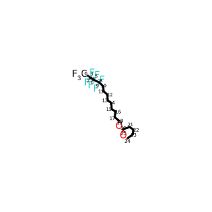 FC(F)(F)C(F)(F)C(F)(F)C(F)(F)CCCCCCCCCOC1CCCCO1